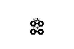 Cc1cccc(P)c1-c1c(C)cccc1P.c1ccc(-c2ccccc2)cc1